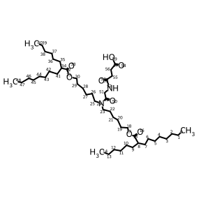 CCCCCCCCC(CCCCCC)C(=O)OCCCCCCN(CCCCCCOC(=O)C(CCCCCC)CCCCCCCC)C(=O)CNC(=O)CCC(=O)O